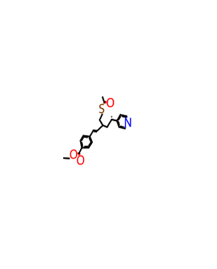 CCOC(=O)c1ccc(C=CC(C[CH]c2ccncc2)CCSC(C)=O)cc1